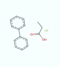 CCC(=O)O.F.c1ccc(-c2ccccc2)cc1